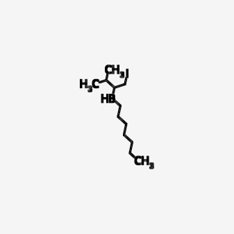 CCCCCCCBC(CI)C(C)C